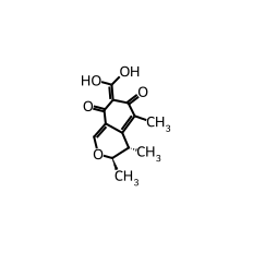 CC1=C2C(=CO[C@H](C)[C@H]2C)C(=O)C(=C(O)O)C1=O